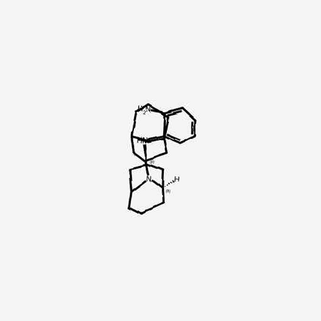 Nc1ccccc1N[C@@H]1CC2CCC[C@H](C1)N2C1CC2CCCC(C2)C1